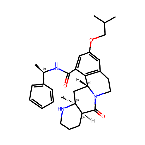 CC(C)COc1cc2c(c(C(=O)N[C@H](C)c3ccccc3)c1)[C@H]1C[C@@H]3NCCC[C@@H]3C(=O)N1CC2